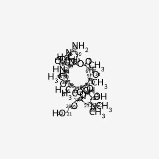 CC[C@H]1OC(=O)[C@@](C)(F)C(=O)[C@H](C)[C@@H](O[C@@H]2O[C@H](COCCO)CC(N(C)C)C2O)[C@](C)(OC)C[C@@H](C)C(=O)[C@H](C)[C@H]2NC(=O)O[C@@]21n1ccc(N)nc1=O